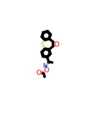 CC(=O)O/N=C(\C)c1ccc2c(c1)C1OC1c1ccccc1S2